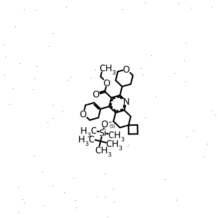 CCOC(=O)c1c(C2CCOCC2)nc2c(c1C1=CCOCC1)[C@@H](O[Si](C)(C)C(C)(C)C)CC1(CCC1)C2